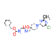 Cc1nc(Cl)cc(N2CCC(O)(CN3CCN(C(=O)OCc4ccccc4)CC3)CC2)n1